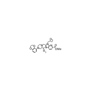 COC(=O)c1ccc2nc(CN3CCN(c4cccc5c4OCCO5)CC3C)n(CC3CCO3)c2n1